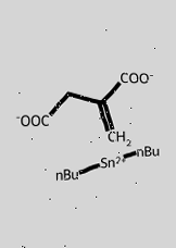 C=C(CC(=O)[O-])C(=O)[O-].CCC[CH2][Sn+2][CH2]CCC